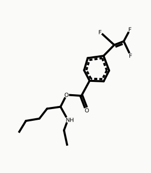 CCCCC(NCC)OC(=O)c1ccc(C(F)=C(F)F)cc1